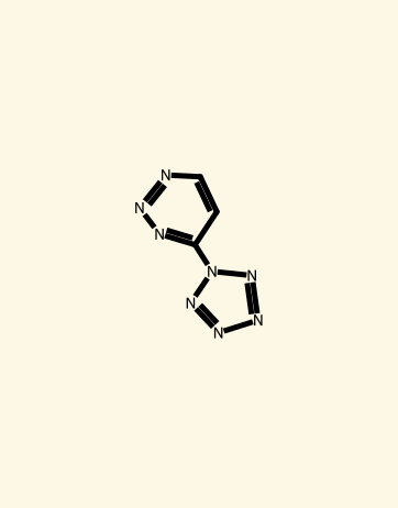 c1cc(-n2nnnn2)nnn1